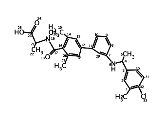 Cc1cc(C(C)Nc2cccc(-c3cc(C)c(C(=O)N(C)C(C)C(=O)O)c(C)c3)c2)ccc1Cl